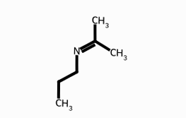 CCCN=C(C)C